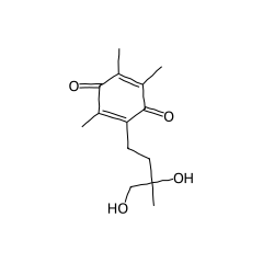 CC1=C(C)C(=O)C(CCC(C)(O)CO)=C(C)C1=O